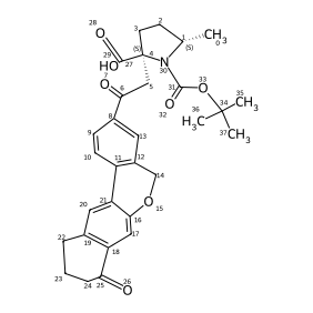 C[C@H]1CC[C@](CC(=O)c2ccc3c(c2)COc2cc4c(cc2-3)CCCC4=O)(C(=O)O)N1C(=O)OC(C)(C)C